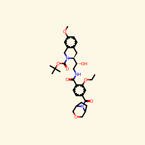 CCOc1cc(C(=O)N2C3CCC2COC3)ccc1C(=O)NC[C@@H](O)[C@@H]1Cc2ccc(OC)cc2CN1C(=O)OC(C)(C)C